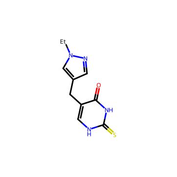 CCn1cc(Cc2c[nH]c(=S)[nH]c2=O)cn1